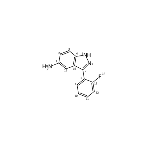 Nc1ccc2[nH]nc(-c3ccccc3F)c2c1